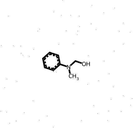 CN(CO)c1[c]cccc1